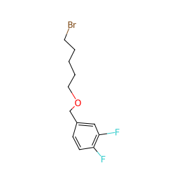 Fc1ccc(COCCCCCBr)cc1F